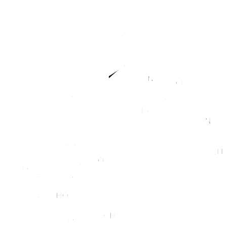 Cc1ccc(C(C)(C)N2CC[C@@](CCc3cccs3)([C@H]3OCCc4ccccc43)C2)cn1.O=C(O)CC(O)(CC(=O)O)C(=O)O